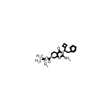 CC(C)(C)OC(=O)N1CCc2c(nc(N)n(C(Cc3ccccc3)C3CCC3)c2=O)C1